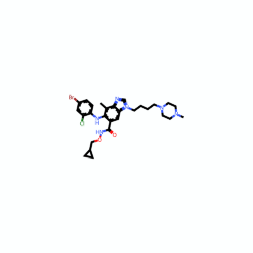 Cc1c(Nc2ccc(Br)cc2Cl)c(C(=O)NOCC2CC2)cc2c1ncn2CCCCN1CCN(C)CC1